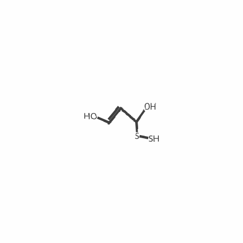 OC=CC(O)SS